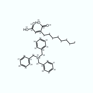 CCCCCCCCC(=CC(=O)O)C(=O)O.c1ccc([CH2][Sn]([CH2]c2ccccc2)[CH2]c2ccccc2)cc1